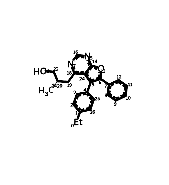 CCc1ccc(-c2c(-c3ccccc3)oc3ncnc(C[C@H](C)CO)c23)cc1